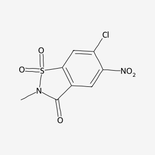 CN1C(=O)c2cc([N+](=O)[O-])c(Cl)cc2S1(=O)=O